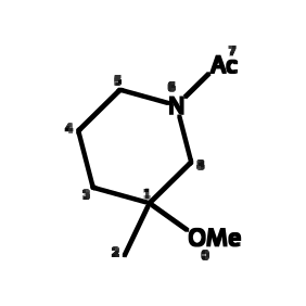 COC1(C)CCCN(C(C)=O)C1